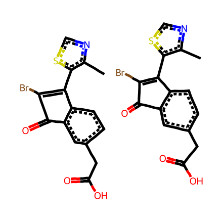 Cc1ncsc1C1=C(Br)C(=O)c2cc(CC(=O)O)ccc21.Cc1ncsc1C1=C(Br)C(=O)c2cc(CC(=O)O)ccc21